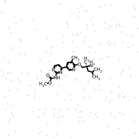 COC(=O)Nc1nccc(-c2cnc(OC[C@@](C)(N)CC(C)C)c(C)c2)n1